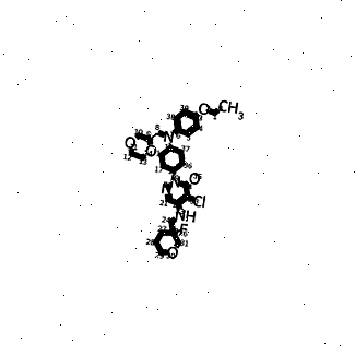 CCOc1ccc(N(C[C@H]2COCCO2)[C@H]2CC[C@@H](n3ncc(NC[C@]4(F)CCCOC4)c(Cl)c3=O)CC2)cc1